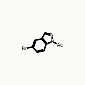 CC(=O)n1ncc2cc(Br)ccc21